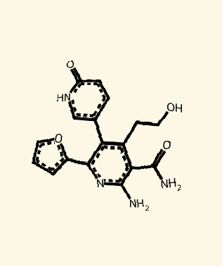 NC(=O)c1c(N)nc(-c2ccco2)c(-c2ccc(=O)[nH]c2)c1CCO